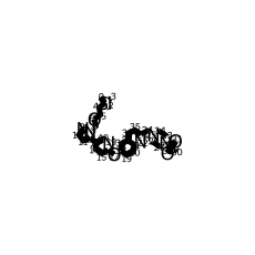 C[Si](C)(C)CCOCn1nccc1-c1ccc(Oc2ccc3nc(CN4CCN(S(C)(=O)=O)CC4)ccc3c2)nc1